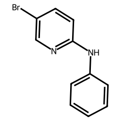 Brc1ccc(Nc2ccccc2)nc1